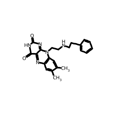 Cc1cc2nc3c(=O)[nH]c(=O)nc-3n(CCNCCc3ccccc3)c2cc1C